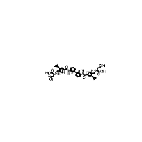 Cc1c(NC(=O)c2cc(C3CC3)c(CN[C@@H](CC(=O)O)C(=O)O)cn2)cccc1-c1cccc(NC(=O)c2cc(C3CC3)c(CN[C@@H](CC(=O)O)C(=O)O)cn2)c1C